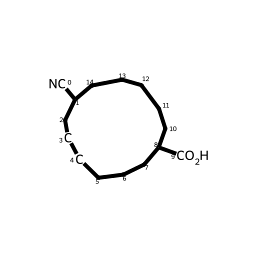 N#CC1CCCCCCC(C(=O)O)CCCCC1